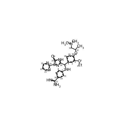 CCOc1cc(C(Nc2ccc(C(=N)N)cc2)c2nn(-c3ncccn3)c(=O)[nH]2)ccc1OC(C)CN(C)C